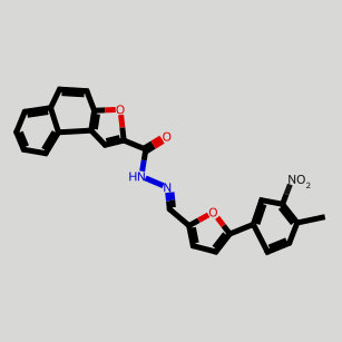 Cc1ccc(-c2ccc(C=NNC(=O)c3cc4c(ccc5ccccc54)o3)o2)cc1[N+](=O)[O-]